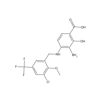 Bc1c(NCc2cc(C(F)(F)F)cc(Cl)c2OC)ccc(C(=O)O)c1O